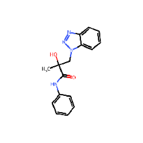 CC(O)(Cn1nnc2ccccc21)C(=O)Nc1ccccc1